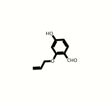 C=CCOc1cc(O)ccc1C=O